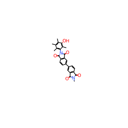 Cc1c(C)c(O)c(C)c(N2C(=O)c3ccc(-c4ccc5c(c4)C(=O)N(C)C5=O)cc3C2=O)c1C